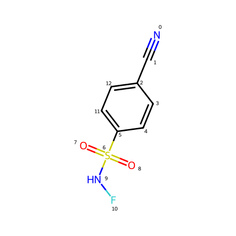 N#Cc1ccc(S(=O)(=O)NF)cc1